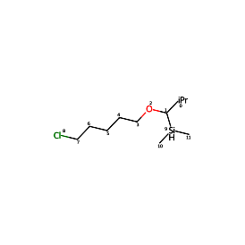 CC(C)C(OCCCCCCl)[SiH](C)C